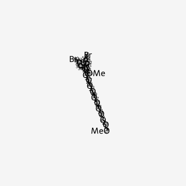 COCCOCCOCCOCCOCCOCCOCCOCCOCCOCCOCCOc1ccc2cc(Br)ccc2c1-c1c(OCCOC)ccc2cc(Br)ccc12